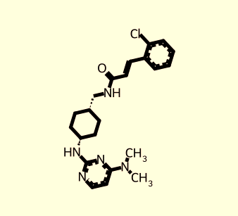 CN(C)c1ccnc(N[C@H]2CC[C@@H](CNC(=O)/C=C/c3ccccc3Cl)CC2)n1